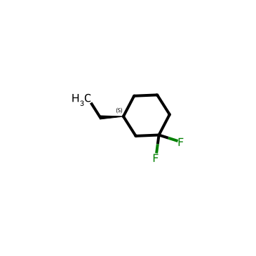 CC[C@H]1CCCC(F)(F)C1